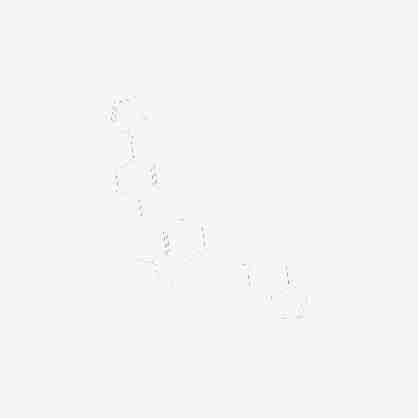 Cl.O=CNO.O=S(=O)(c1ccc(Oc2ccc(-n3ccnc3)cn2)cc1)N1CCc2ccoc2C1